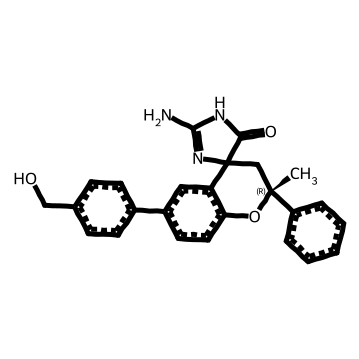 C[C@]1(c2ccccc2)CC2(N=C(N)NC2=O)c2cc(-c3ccc(CO)cc3)ccc2O1